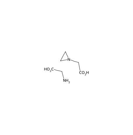 NCC(=O)O.O=C(O)CN1CC1